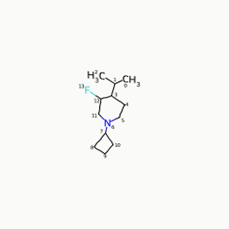 CC(C)C1CCN(C2CCC2)CC1F